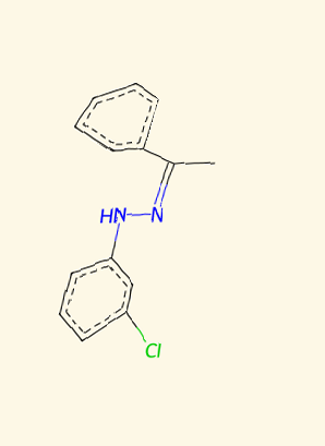 CC(=NNc1cccc(Cl)c1)c1ccccc1